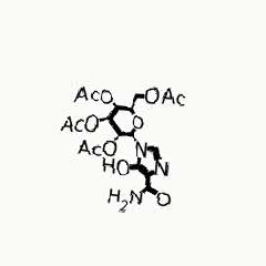 CC(=O)OC[C@H]1O[C@@H](n2cnc(C(N)=O)c2O)[C@H](OC(C)=O)[C@@H](OC(C)=O)[C@H]1OC(C)=O